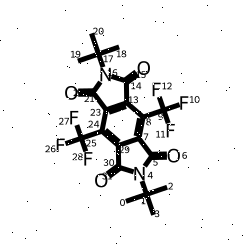 CC(C)(C)n1c(=O)c2c(C(F)(F)F)c3c(=O)n(C(C)(C)C)c(=O)c3c(C(F)(F)F)c2c1=O